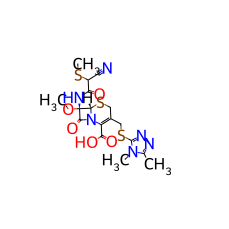 CO[C@@]1(NC(=O)C(C#N)SC)C(=O)N2C(C(=O)O)=C(CSc3nnc(C)n3C)CS[C@H]21